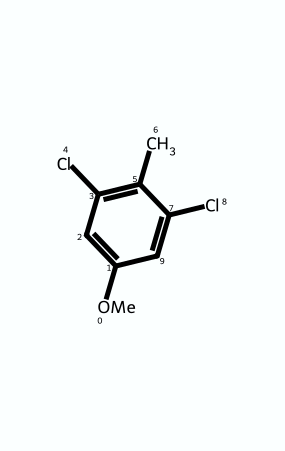 COc1cc(Cl)c(C)c(Cl)c1